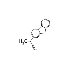 [C]#CC(C)c1ccc2c(c1)Cc1ccccc1-2